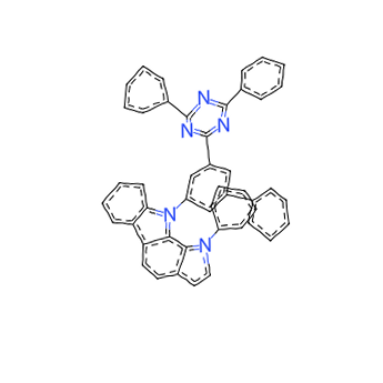 c1ccc(-c2cc(-c3nc(-c4ccccc4)nc(-c4ccccc4)n3)cc(-n3c4ccccc4c4ccc5ccn(-c6ccccc6)c5c43)c2)cc1